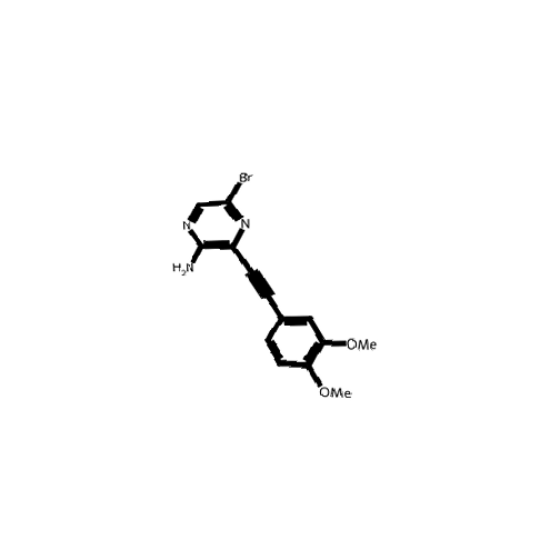 COc1ccc(C#Cc2nc(Br)cnc2N)cc1OC